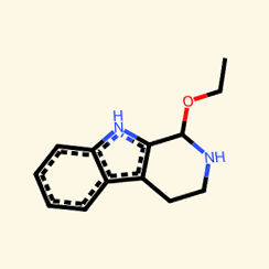 CCOC1NCCc2c1[nH]c1ccccc21